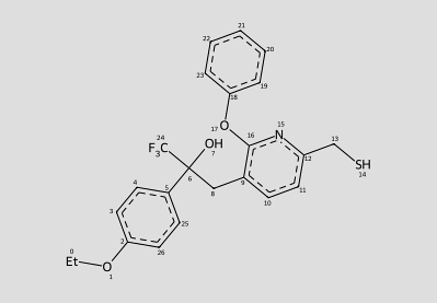 CCOc1ccc(C(O)(Cc2ccc(CS)nc2Oc2ccccc2)C(F)(F)F)cc1